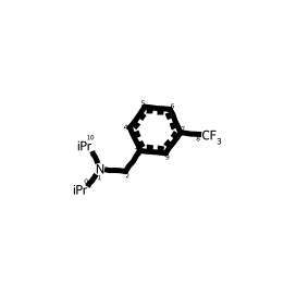 CC(C)N(Cc1cccc(C(F)(F)F)c1)C(C)C